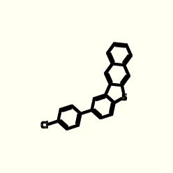 Clc1ccc(-c2ccc3sc4cc5ccccc5cc4c3c2)cc1